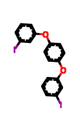 Ic1cccc(Oc2ccc(Oc3cccc(I)c3)cc2)c1